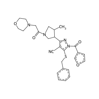 CC1CN(C(=O)CN2CCOCC2)CC1c1nn(C(=O)c2ccoc2)c(SCc2ccccc2)c1C#N